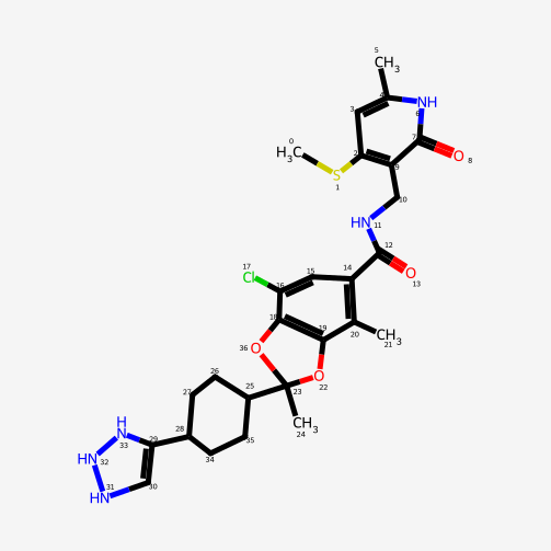 CSc1cc(C)[nH]c(=O)c1CNC(=O)c1cc(Cl)c2c(c1C)OC(C)(C1CCC(C3=CNNN3)CC1)O2